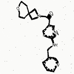 O=C(c1cnc(NCc2cccnc2)nc1)N1CC2(CCOCC2)C1